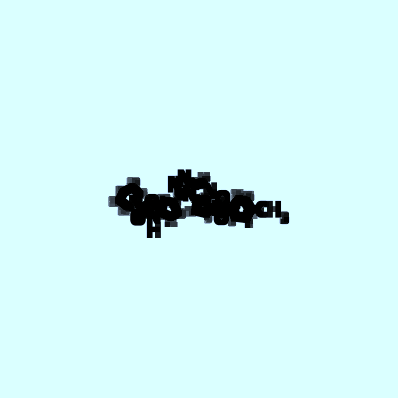 Cc1ccc(S(=O)(=O)n2ccc3c2ncc2nnc([C@@H]4CCC(NS(=O)(=O)N5CCCCC5)C4)n23)cc1